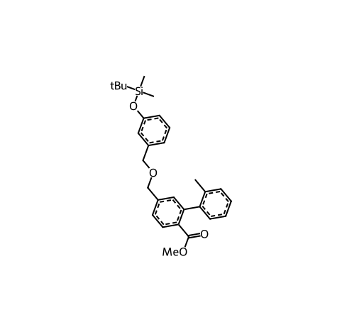 COC(=O)c1ccc(COCc2cccc(O[Si](C)(C)C(C)(C)C)c2)cc1-c1ccccc1C